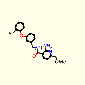 COCc1ccc(C(=O)NCc2cccc(Oc3ccccc3Br)c2)c(N)n1